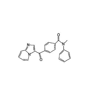 CN(C(=O)c1ccc(C(=O)c2cnc3ccccn23)cc1)c1ccccc1